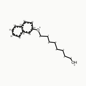 OCCCCCCCCOc1ccc2ccccc2c1